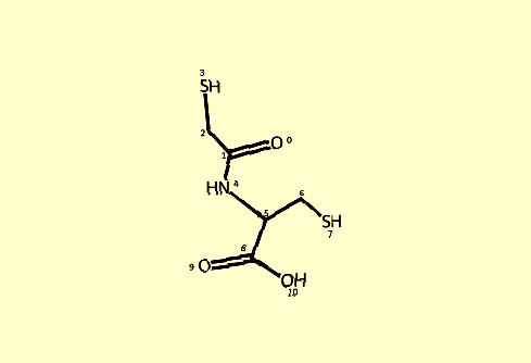 O=C(CS)NC(CS)C(=O)O